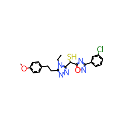 CCn1c(CCc2ccc(OC)cc2)nnc1C(S)c1nc(-c2cccc(Cl)c2)no1